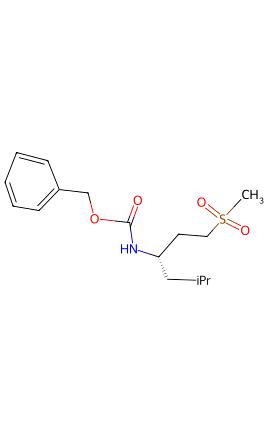 CC(C)C[C@@H](CCS(C)(=O)=O)NC(=O)OCc1ccccc1